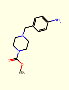 CCCCOC(=O)N1CCN(Cc2ccc(N)cc2)CC1